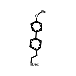 CCCCCCCCCCCCc1ccc(-c2ccc(OC(C)CC)cc2)cc1